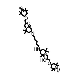 CON1C(C)(C)CC(OCC(O)CN2C(C)(C)CC(NCCCCCCNC3CC(C)(C)N4CC(COC5CC(C)(C)N(OC)C(C)(C)C5)OC4(C)C3)CC2(C)C)CC1(C)C